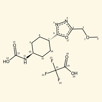 COCc1nnc([C@H]2CC[C@H](NC(=O)O)CC2)o1.O=C(O)C(F)(F)F